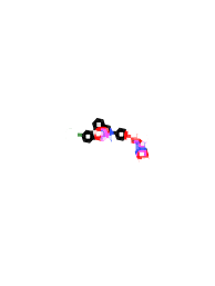 O=C(COc1ccc(C(Cc2ccccc2)=NOCc2ccc(Cl)cc2)cc1)N1CCOCC1